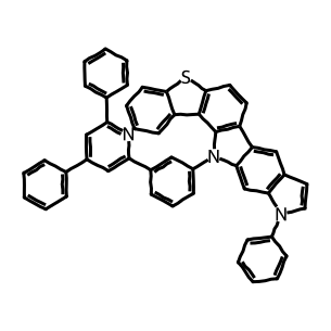 c1ccc(-c2cc(-c3ccccc3)nc(-c3cccc(-n4c5cc6c(ccn6-c6ccccc6)cc5c5ccc6sc7ccccc7c6c54)c3)c2)cc1